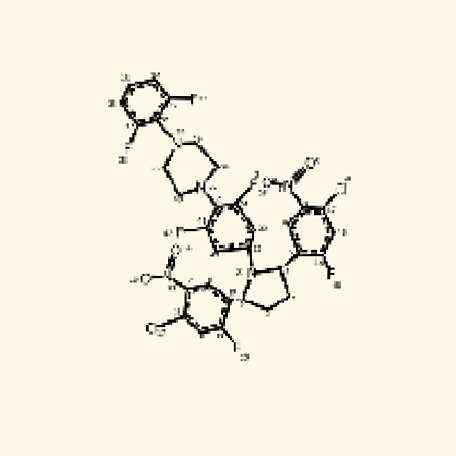 O=[N+]([O-])c1cc([C@H]2CC[C@H](c3cc([N+](=O)[O-])c(Cl)cc3F)N2c2cc(F)c(N3CCN(c4c(F)cccc4F)CC3)c(F)c2)c(F)cc1Cl